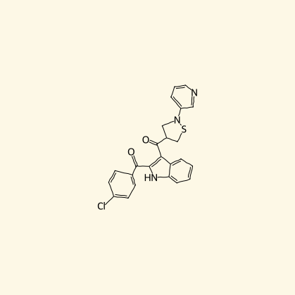 O=C(c1ccc(Cl)cc1)c1[nH]c2ccccc2c1C(=O)C1CSN(c2cccnc2)C1